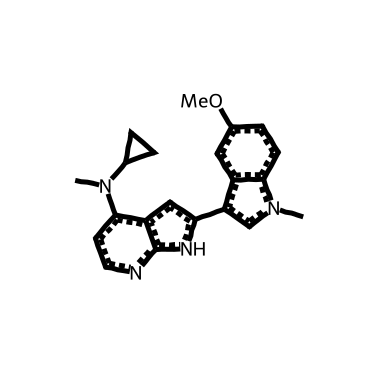 COc1ccc2c(c1)c(-c1cc3c(N(C)C4CC4)ccnc3[nH]1)cn2C